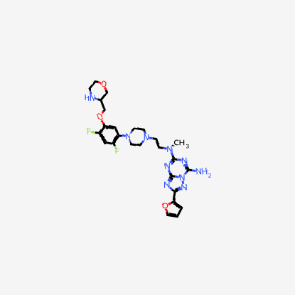 CN(CCN1CCN(c2cc(OCC3COCCN3)c(F)cc2F)CC1)c1nc(N)n2nc(-c3ccco3)nc2n1